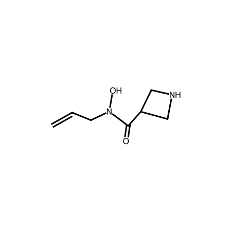 C=CCN(O)C(=O)C1CNC1